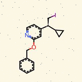 IC[C@H](c1ccnc(OCc2ccccc2)c1)C1CC1